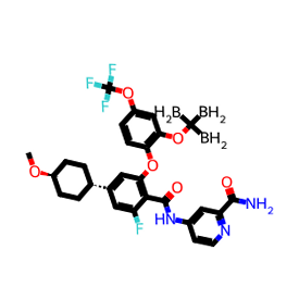 BC(B)(B)Oc1cc(OC(F)(F)F)ccc1Oc1cc([C@H]2CC[C@H](OC)CC2)cc(F)c1C(=O)Nc1ccnc(C(N)=O)c1